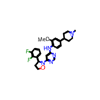 COc1cc(C2CCN(C)CC2)ccc1Nc1cc(N2OCCC2c2cccc(F)c2F)ncn1